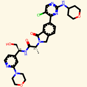 C[C@H](C(=O)N[C@H](CO)c1ccnc(N2CCOCC2)c1)N1Cc2ccc(-c3nc(NC4CCOCC4)ncc3Cl)cc2C1=O